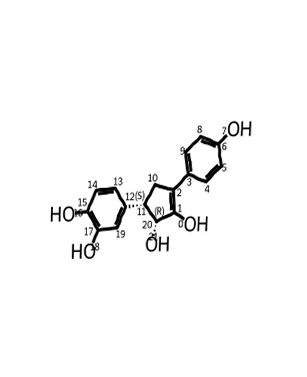 OC1=C(c2ccc(O)cc2)C[C@@H](c2ccc(O)c(O)c2)[C@H]1O